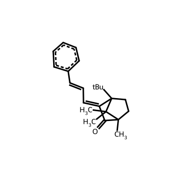 CC(C)(C)C12CCC(C)(C(=O)/C1=C/C=C/c1ccccc1)C2(C)C